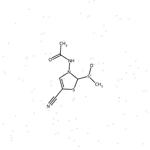 CC(=O)NN1C=C(C#N)SC1[S+](C)[O-]